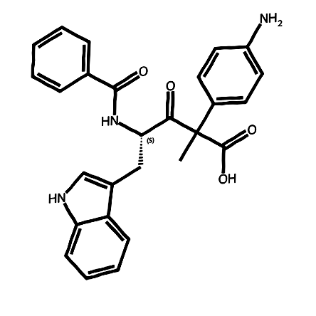 CC(C(=O)O)(C(=O)[C@H](Cc1c[nH]c2ccccc12)NC(=O)c1ccccc1)c1ccc(N)cc1